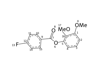 COc1cccc(OC(=O)c2ccc(F)cc2)c1OC